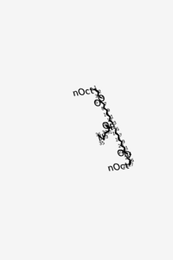 CCCCCCCC/C=C\COC(=O)CCCCCCCP(CCCCCCCC(=O)OC/C=C\CCCCCCCC)C(=O)CCCN(C)C